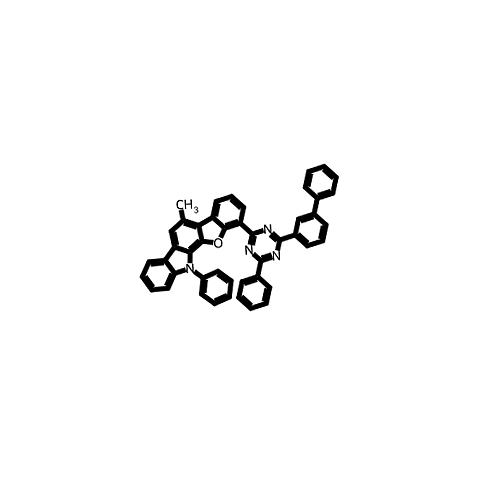 Cc1cc2c3ccccc3n(-c3ccccc3)c2c2oc3c(-c4nc(-c5ccccc5)nc(-c5cccc(-c6ccccc6)c5)n4)cccc3c12